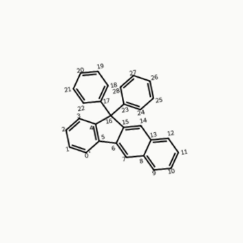 [c]1cccc2c1-c1cc3ccccc3cc1C2(c1ccccc1)c1ccccc1